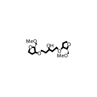 COC[C@H]1OCCC1OCCC(O)CCOC1CCO[C@@H]1COC